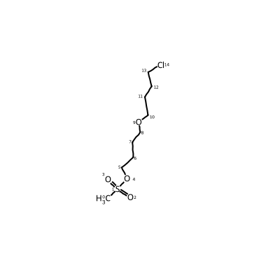 CS(=O)(=O)OCCCCOCCCCCl